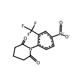 O=C1CCCC(=O)N1c1ccc([N+](=O)[O-])cc1C(F)(F)F